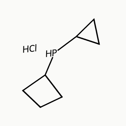 C1CC(PC2CC2)C1.Cl